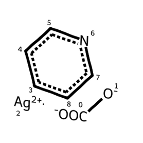 O=C([O-])[O-].[Ag+2].c1ccncc1